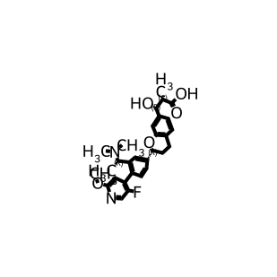 COc1cc(-c2ccc([C@H]3CCc4ccc([C@H](O)[C@H](C)C(=O)O)cc4O3)cc2[C@@H](C)N(C)C)c(F)cn1